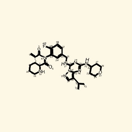 C=CC(=O)N(C(=O)C1CCCCN1)c1cc(CNc2nc(NC3CCOCC3)nc3c(C(C)C)cnn23)ccc1F